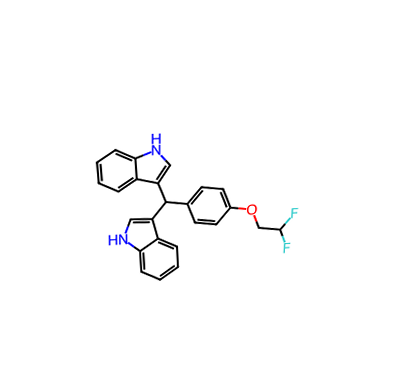 FC(F)COc1ccc(C(c2c[nH]c3ccccc23)c2c[nH]c3ccccc23)cc1